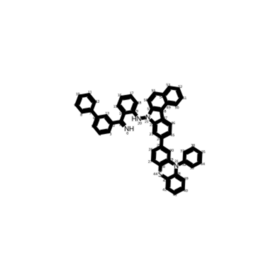 N=C(c1cccc(-c2ccccc2)c1)c1ccccc1Nn1c2cc(-c3ccc4c(c3)N(c3ccccc3)c3ccccc3S4)ccc2c2c3ccccc3ccc21